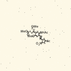 COCCN(CCC(=O)OC)c1cc(NC(C)=O)c(N=NC2SC(C(C)=O)=CC2[N+](=O)[O-])cc1OC